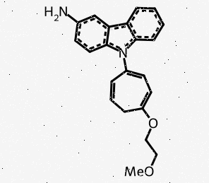 COCCOC1=CC=C(n2c3ccccc3c3cc(N)ccc32)C=CC1